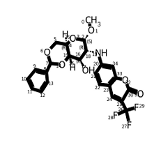 CO[C@H]1O[C@@H]2COC(c3ccccc3)O[C@H]2[C@H](O)[C@H]1Nc1ccc2cc(C(F)(F)F)c(=O)oc2c1